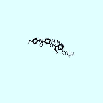 Nc1ncc(C(=O)O)c2scc(COc3cccc(C(=O)Nc4ccc(F)cc4)c3)c12